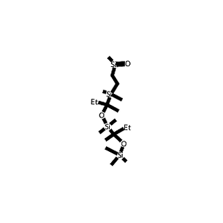 CCC(C)(O[Si](C)(C)C(C)(CC)O[Si](C)(C)C)[Si](C)(C)CC[Si](C)=O